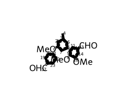 COc1[c]c(C)ccc1.COc1ccc(C=O)cc1OC.O=Cc1ccccc1